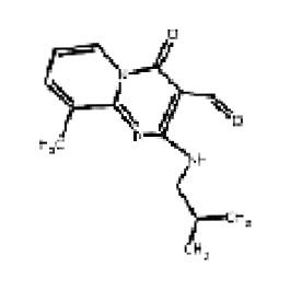 Cc1cccn2c(=O)c(C=O)c(NCC(C)C)nc12